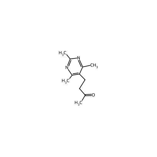 CC(=O)CCc1c(C)nc(C)nc1C